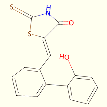 O=C1NC(=S)S/C1=C\c1ccccc1-c1ccccc1O